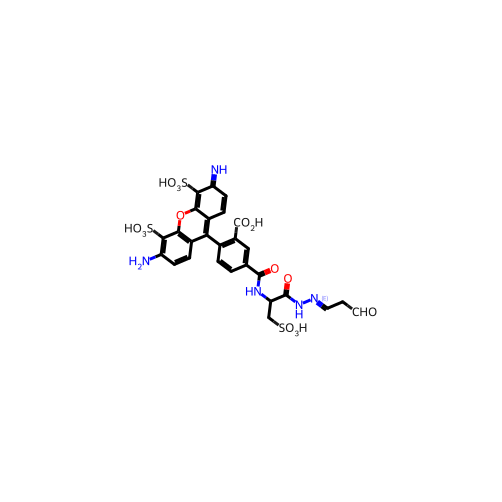 N=c1ccc2c(-c3ccc(C(=O)NC(CS(=O)(=O)O)C(=O)N/N=C/CC=O)cc3C(=O)O)c3ccc(N)c(S(=O)(=O)O)c3oc-2c1S(=O)(=O)O